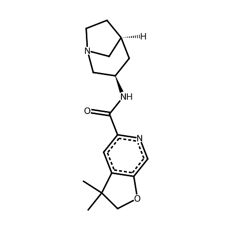 CC1(C)COc2cnc(C(=O)N[C@@H]3C[C@@H]4CCN(C4)C3)cc21